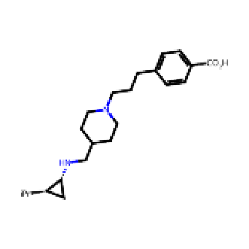 CC(C)[C@@H]1C[C@H]1NCC1CCN(CCCc2ccc(C(=O)O)cc2)CC1